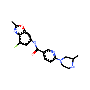 Cc1nc2c(F)cc(NC(=O)c3ccc(N4CCNC(C)C4)nc3)cc2o1